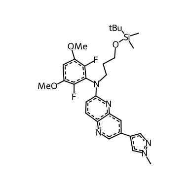 COc1cc(OC)c(F)c(N(CCCO[Si](C)(C)C(C)(C)C)c2ccc3ncc(-c4cnn(C)c4)cc3n2)c1F